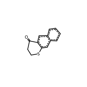 O=C1CCSc2cc3ccccc3cc21